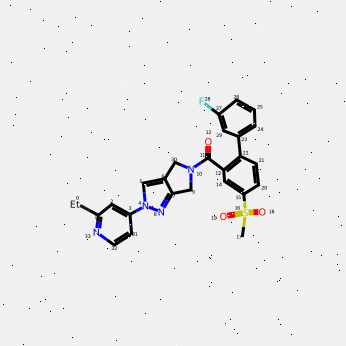 CCc1cc(-n2cc3c(n2)CN(C(=O)c2cc(S(C)(=O)=O)ccc2-c2cccc(F)c2)C3)ccn1